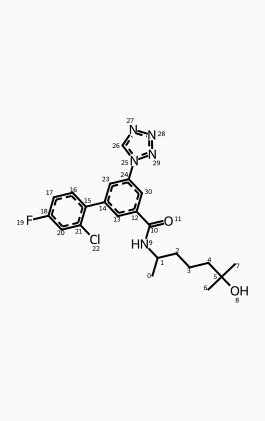 CC(CCCC(C)(C)O)NC(=O)c1cc(-c2ccc(F)cc2Cl)cc(-n2cnnn2)c1